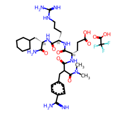 CN(C)C(=O)C(Cc1ccc(C(=N)N)cc1)C(=O)N[C@@H](CCC(=O)O)C(=O)N[C@@H](CCCNC(=N)N)C(=O)N[C@@H](CC1CCCCC1)C(N)=O.O=C(O)C(F)(F)F